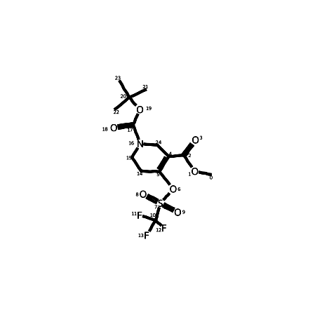 COC(=O)C1=C(OS(=O)(=O)C(F)(F)F)CCN(C(=O)OC(C)(C)C)C1